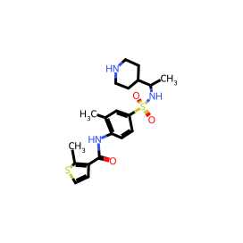 Cc1cc(S(=O)(=O)NC(C)C2CCNCC2)ccc1NC(=O)c1ccsc1C